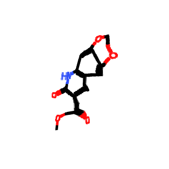 COC(=O)c1cc2cc3c(cc2[nH]c1=O)OCO3